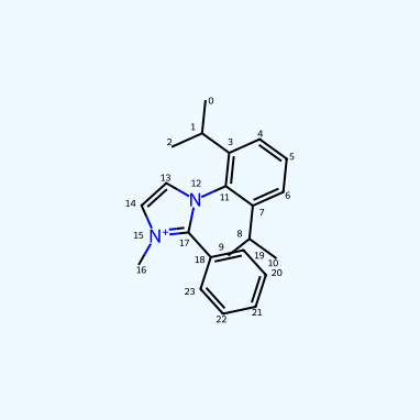 CC(C)c1cccc(C(C)C)c1-n1cc[n+](C)c1-c1ccccc1